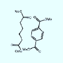 COC(=O)CCCCC(=O)OC.COC(=O)c1ccc(C(=O)OC)cc1